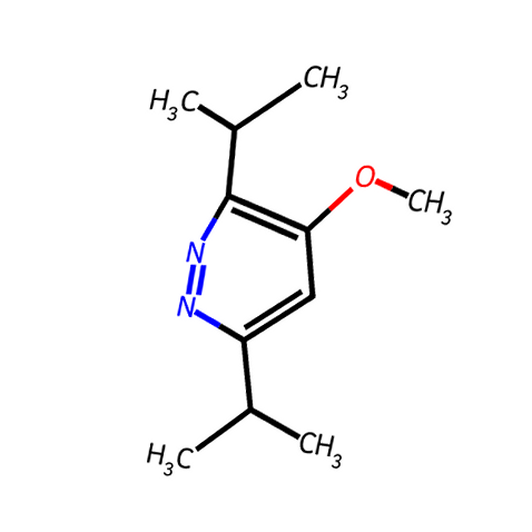 COc1cc(C(C)C)nnc1C(C)C